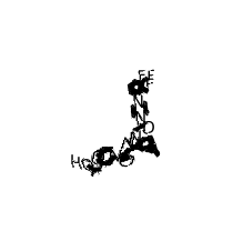 Cc1c(N2CCN(C(=O)Cn3nc(C(=O)N4CCO[C@H](C[C@@H](C)O)C4)c4c3CC3C(C)C43)CC2)cccc1C(F)(F)F